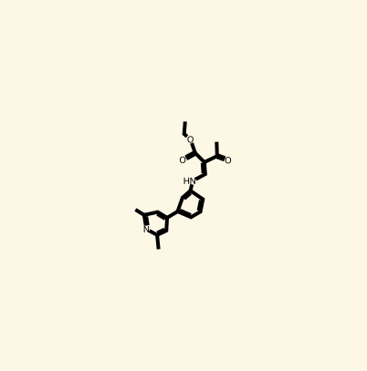 CCOC(=O)C(=CNc1cccc(-c2cc(C)nc(C)c2)c1)C(C)=O